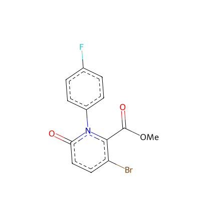 COC(=O)c1c(Br)ccc(=O)n1-c1ccc(F)cc1